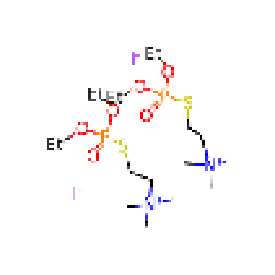 CCOP(=O)(OCC)SCC[N+](C)(C)C.CCOP(=O)(OCC)SCC[N+](C)(C)C.[I-].[I-]